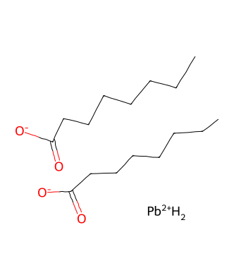 CCCCCCCC(=O)[O-].CCCCCCCC(=O)[O-].[PbH2+2]